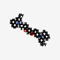 CC(C)c1ccc(N(c2ccc3c(ccc4c5cc6c(cc5oc34)oc3c4ccc(N(c5ccc(C(C)C)cc5)c5cccc7ccccc57)cc4ccc63)c2)c2cccc3ccccc23)cc1